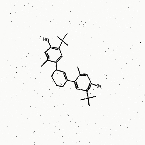 Cc1cc(O)c(C(C)(C)C)cc1C1=CC(c2cc(C(C)(C)C)c(O)cc2C)CCC1